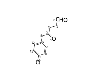 O=CCCC(=O)Cc1ccc(Cl)cc1